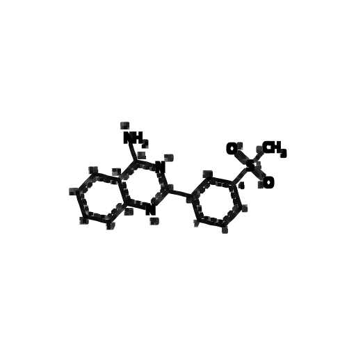 CS(=O)(=O)c1cccc(-c2nc(N)c3ccccc3n2)c1